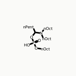 CCCCCCCCOP(=O)(O)OC(CCCCC)N(CCCCCCCC)CCCCCCCC